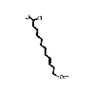 CCCCCCCCCC/C=C/CCCCCCCC(Cl)Cl